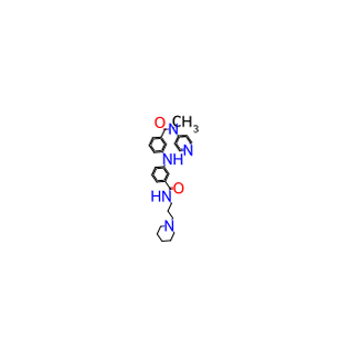 CN(C(=O)c1cccc(Nc2cccc(C(=O)NCCCN3CCCCC3)c2)c1)c1ccncc1